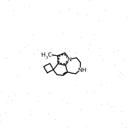 Cc1cn2c3c1C1(CC=C3CNCC2)CCC1